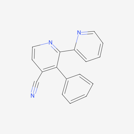 N#Cc1ccnc(-c2ccccn2)c1-c1ccccc1